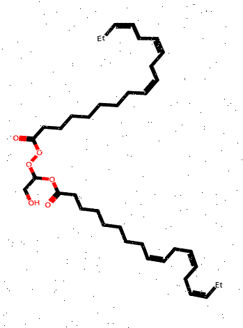 CC/C=C\C/C=C\C/C=C\CCCCCCCC(=O)OOC(CO)OC(=O)CCCCCCC/C=C\C/C=C\C/C=C\CC